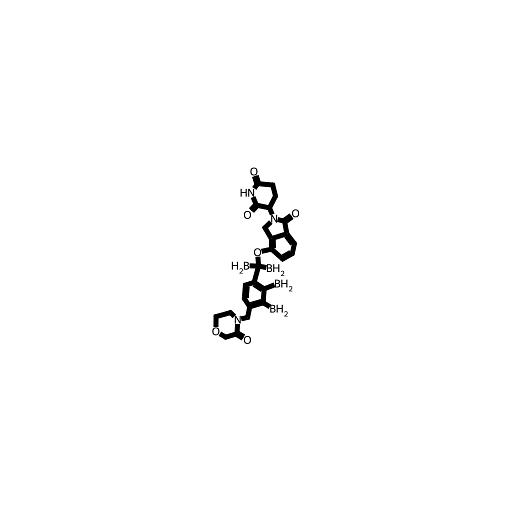 Bc1c(CN2CCOCC2=O)ccc(C(B)(B)Oc2cccc3c2CN(C2CCC(=O)NC2=O)C3=O)c1B